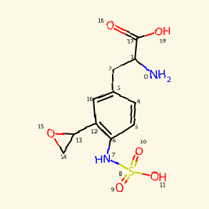 NC(Cc1ccc(NS(=O)(=O)O)c(C2CO2)c1)C(=O)O